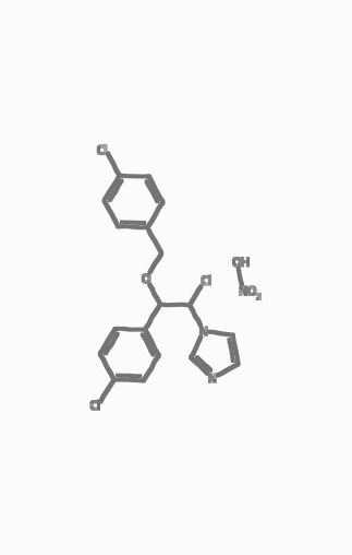 Clc1ccc(COC(c2ccc(Cl)cc2)C(Cl)n2ccnc2)cc1.O=[N+]([O-])O